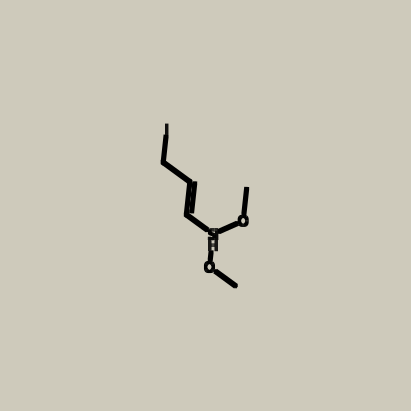 CO[SiH](C=CCI)OC